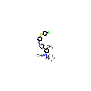 Cc1ccc(N(C=O)N(C)C)cc1C1CCN(Cc2ccc(Sc3ccc(Cl)cc3)cc2)CC1